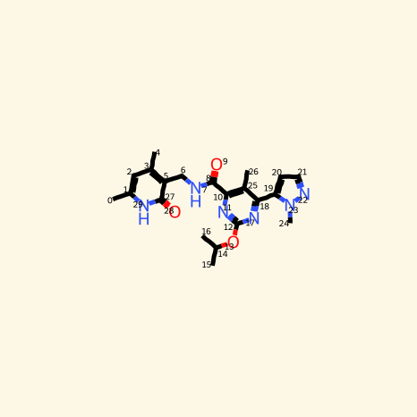 Cc1cc(C)c(CNC(=O)c2nc(OC(C)C)nc(-c3ccnn3C)c2C)c(=O)[nH]1